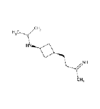 CC(=N)CC[C@H]1C[C@@H](NC(C)C)C1